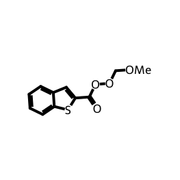 COCOOC(=O)c1cc2ccccc2s1